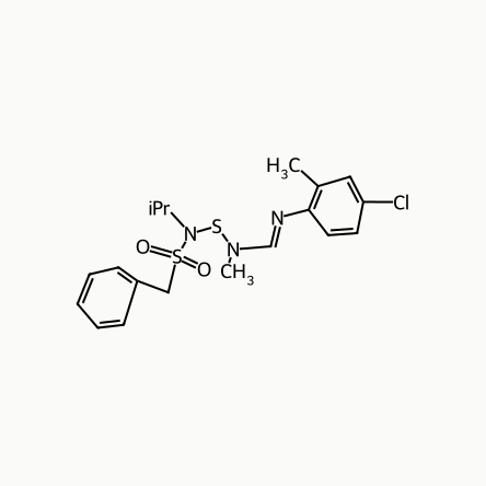 Cc1cc(Cl)ccc1N=CN(C)SN(C(C)C)S(=O)(=O)Cc1ccccc1